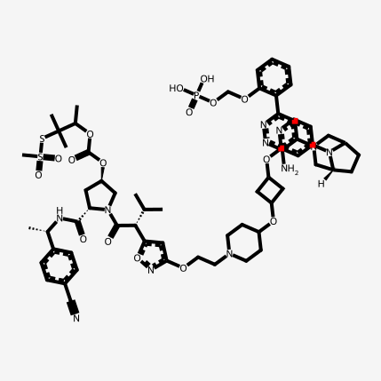 CC(C)[C@@H](C(=O)N1C[C@H](OC(=O)OC(C)C(C)(C)SS(C)(=O)=O)C[C@H]1C(=O)N[C@@H](C)c1ccc(C#N)cc1)c1cc(OCCN2CCC(OC3CC(Oc4cc(N5C6CC[C@@H]5CN(c5cc(-c7ccccc7OCOP(=O)(O)O)nnc5N)C6)ccn4)C3)CC2)no1